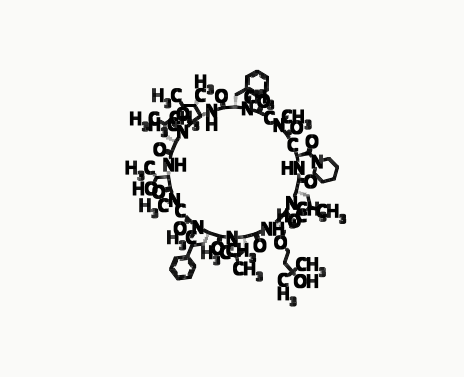 CC[C@H](C)[C@@H]1NC(=O)[C@H](Cc2ccccc2)N(C)C(=O)CN(C)C(=O)C[C@@H](C(=O)N2CCCCC2)NC(=O)[C@H](CC(C)C)N(C)C(=O)[C@H](COCCC(C)(C)O)NC(=O)[C@H](CC(C)C)N(C)C(=O)[C@H](CCc2ccccc2)N(C)C(=O)CN(C)C(=O)[C@H]([C@@H](C)O)NC(=O)[C@H](CC(C)C)N(C)C1=O